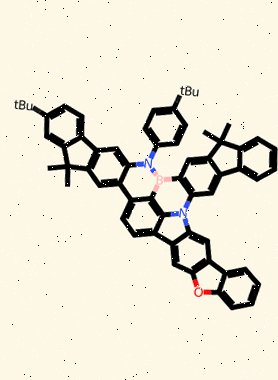 CC(C)(C)c1ccc(N2B3c4cc5c(cc4-n4c6cc7c(cc6c6ccc(c3c64)-c3cc4c(cc32)-c2ccc(C(C)(C)C)cc2C4(C)C)oc2ccccc27)-c2ccccc2C5(C)C)cc1